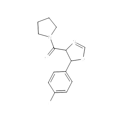 O=C(C1N=COC1c1ccc(F)cc1)N1CCCC1